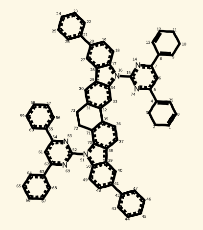 C1=CCCC(c2cc(C3=CCCC=C3)nc(-n3c4ccc(-c5ccccc5)cc4c4cc5c(cc43)-c3ccc4c6cc(-c7ccccc7)ccc6n(-c6nc(-c7ccccc7)cc(-c7ccccc7)n6)c4c3CC5)n2)=C1